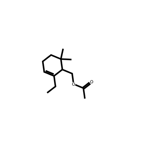 CCC1=CCCC(C)(C)C1COC(C)=O